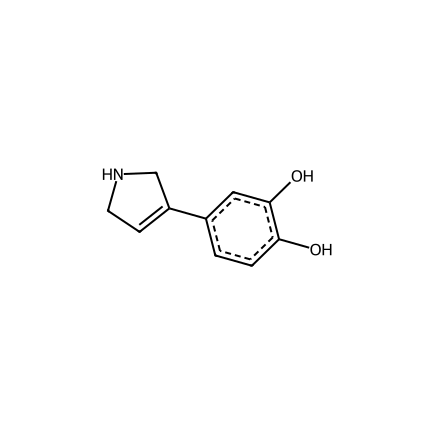 Oc1ccc(C2=CCNC2)cc1O